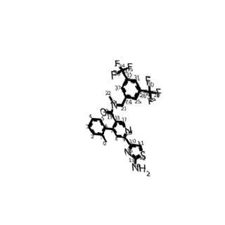 Cc1ccccc1-c1cc(-c2csc(N)n2)ncc1C(=O)N(C)Cc1cc(C(F)(F)F)cc(C(F)(F)F)c1